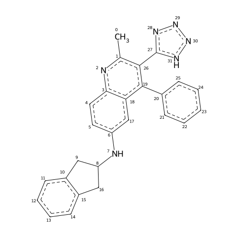 Cc1nc2ccc(NC3Cc4ccccc4C3)cc2c(-c2ccccc2)c1-c1nnn[nH]1